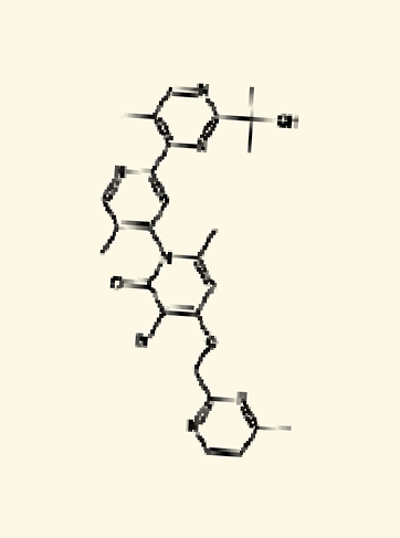 Cc1ccnc(COc2cc(C)n(-c3cc(-c4nc(C(C)(C)O)ncc4C)ncc3C)c(=O)c2Br)n1